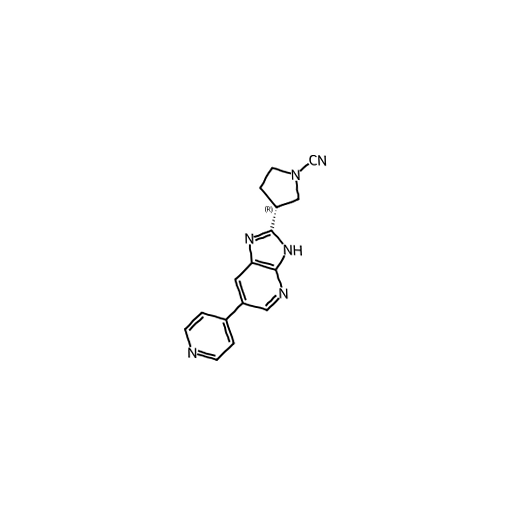 N#CN1CC[C@@H](c2nc3cc(-c4ccncc4)cnc3[nH]2)C1